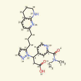 CN(C)C(=O)c1cc(C(CC(=O)O)n2nccc2CCCc2ccc3c(n2)NCCC3)ccn1